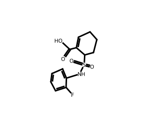 O=C(O)C1=CCCCC1S(=O)(=O)Nc1ccccc1F